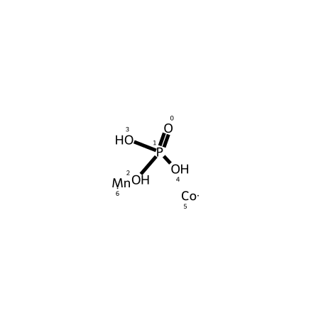 O=P(O)(O)O.[Co].[Mn]